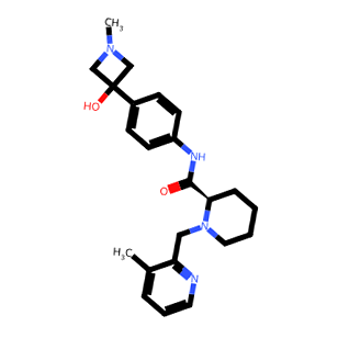 Cc1cccnc1CN1CCCC[C@@H]1C(=O)Nc1ccc(C2(O)CN(C)C2)cc1